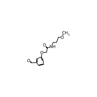 COCCCNC(=O)COc1cccc(C=O)c1